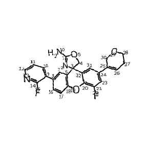 NC1=NC2(CO1)c1cc(-c3cccnc3F)ccc1Oc1c(F)cc(C3=CCCOC3)cc12